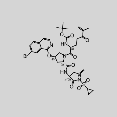 C=CC[C@](C)(NC(=O)[C@@H]1C[C@@H](Oc2nccc3ccc(Br)cc23)CN1C(=O)[C@H](CCC(=O)C(=C)C)NC(=O)OC(C)(C)C)C(=O)NS(=O)(=O)C1CC1